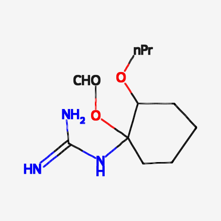 CCCOC1CCCCC1(NC(=N)N)OC=O